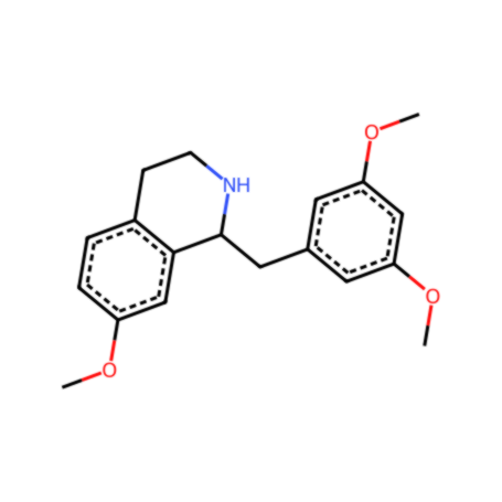 COc1cc(CC2NCCc3ccc(OC)cc32)cc(OC)c1